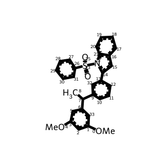 COc1cc(OC)cc(C(C)c2cccc(-c3cc4ccccc4n3S(=O)(=O)c3ccccc3)c2)c1